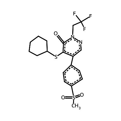 CS(=O)(=O)c1ccc(-c2cnn(CC(F)(F)F)c(=O)c2SC2CCCCC2)cc1